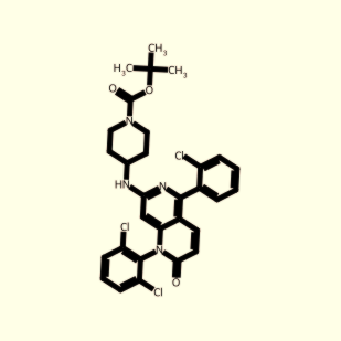 CC(C)(C)OC(=O)N1CCC(Nc2cc3c(ccc(=O)n3-c3c(Cl)cccc3Cl)c(-c3ccccc3Cl)n2)CC1